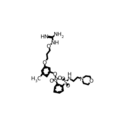 Cc1cc(OCCCONC(=N)N)cc(OS(=O)(=O)c2ccccc2S(=O)(=O)NCCN2CCOCC2)c1